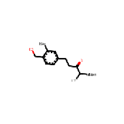 CCCCCCCCCC(C(=O)CCc1ccc(CO)c(C(C)(C)C)c1)C(C)C